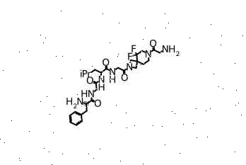 CC(C)CC(NC(=O)CNC(=O)[C@H](N)Cc1ccccc1)C(=O)NCC(=O)N1CC2(CCN(C(=O)CN)CC2(F)F)C1